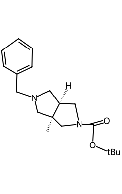 CC(C)(C)OC(=O)N1C[C@@H]2CN(Cc3ccccc3)C[C@]2(C)C1